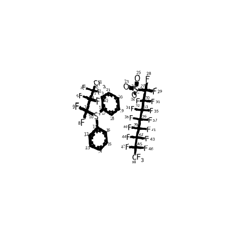 FC(F)(F)C(F)(F)C(F)(F)C(F)(F)[S+](c1ccccc1)c1ccccc1.O=S(=O)([O-])C(F)(F)C(F)(F)C(F)(F)C(F)(F)C(F)(F)C(F)(F)C(F)(F)C(F)(F)F